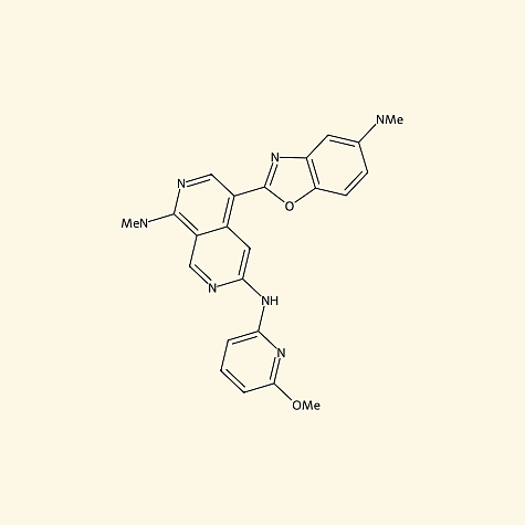 CNc1ccc2oc(-c3cnc(NC)c4cnc(Nc5cccc(OC)n5)cc34)nc2c1